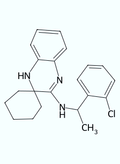 CC(NC1=Nc2ccccc2NC12CCCCC2)c1ccccc1Cl